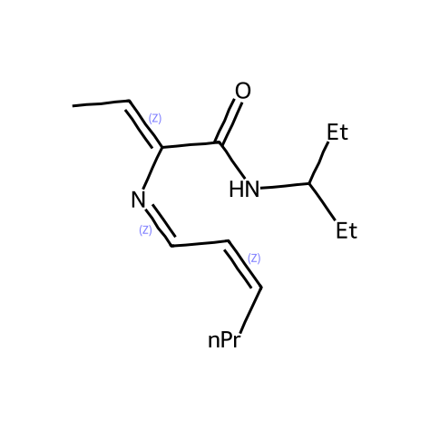 C\C=C(/N=C\C=C/CCC)C(=O)NC(CC)CC